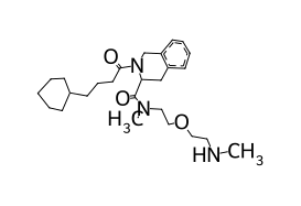 CNCCOCCN(C)C(=O)C1Cc2ccccc2CN1C(=O)CCCC1CCCCC1